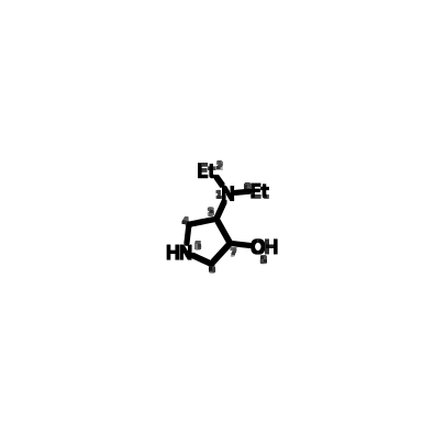 CCN(CC)C1CNCC1O